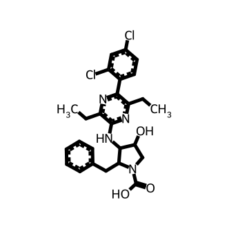 CCc1nc(-c2ccc(Cl)cc2Cl)c(CC)nc1NC1C(O)CN(C(=O)O)C1Cc1ccccc1